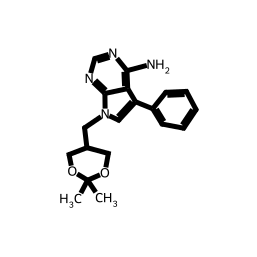 CC1(C)OCC(Cn2cc(-c3ccccc3)c3c(N)ncnc32)CO1